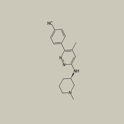 Cc1cc(N[C@@H]2CCCN(C)C2)nnc1-c1ccc(C#N)cc1